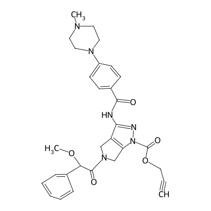 C#CCOC(=O)n1nc(NC(=O)c2ccc(N3CCN(C)CC3)cc2)c2c1CN(C(=O)C(OC)c1ccccc1)C2